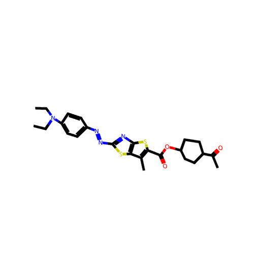 CCN(CC)c1ccc(N=Nc2nc3sc(C(=O)OC4CCC(C(C)=O)CC4)c(C)c3s2)cc1